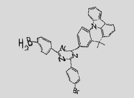 Bc1ccc(-c2nc(-c3ccc(Br)cc3)nc(-c3ccc4c(c3)C(C)(C)c3cccc5c6ccccc6n-4c35)n2)cc1